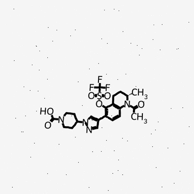 CC(=O)N1c2ccc(-c3cnn(C4CCN(C(=O)O)CC4)c3)c(OS(=O)(=O)C(F)(F)F)c2CC[C@@H]1C